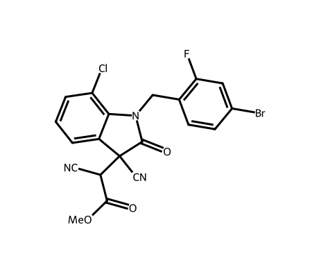 COC(=O)C(C#N)C1(C#N)C(=O)N(Cc2ccc(Br)cc2F)c2c(Cl)cccc21